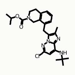 Cc1nc2c(NC(C)(C)C)cc(Cl)nn2c1Cc1cccc2c1CN(C(=O)OC(C)C)CC2